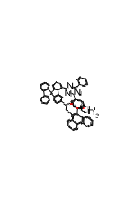 CC1CC(c2ccc3c(c2)-c2c(-c4nc(-c5ccccc5)nc(-c5ccccc5)n4)cccc2C32c3ccccc3-c3ccccc32)=Cc2c1c1ccccc1c1ccccc21